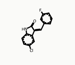 O=C1Nc2ccc(Cl)cc2C1=Cc1cccc(F)c1